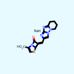 O=C(O)C1=CSC2C(=Cc3cn4c(n3)nc3n4CCCC3)C(=O)N12.[NaH]